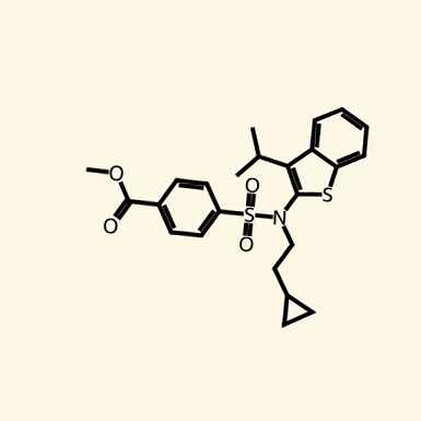 COC(=O)c1ccc(S(=O)(=O)N(CCC2CC2)c2sc3ccccc3c2C(C)C)cc1